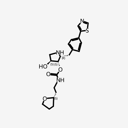 O=C(NCC[C@@H]1CCCO1)O[C@@H]1[C@@H](O)CN[C@@H]1Cc1ccc(-c2cncs2)cc1